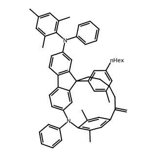 C=C1CCCCC2(c3cc(C)cc(CCCCCC)c3)c3cc(N(c4ccccc4)c4c(C)cc(C)cc4C)ccc3-c3ccc(cc32)N(c2ccccc2)c2c(C)cc1cc2C